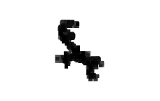 COc1ccc(CN2CCN(C3CC4(CCN(c5cc(Oc6cnc7[nH]cc(F)c7c6)c(C(=O)NS(=O)(=O)c6ccc(NCC7(F)CCN(C(C)C)CC7)c([N+](=O)[O-])c6)cn5)CC4)C3)C(c3ccccc3C(C)C)C2)cc1